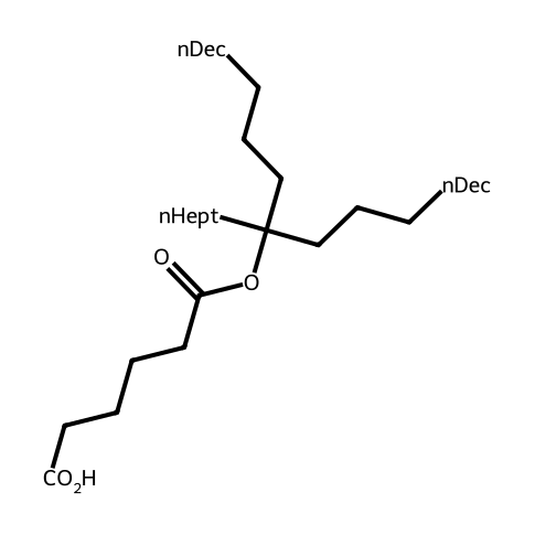 CCCCCCCCCCCCCC(CCCCCCC)(CCCCCCCCCCCCC)OC(=O)CCCCC(=O)O